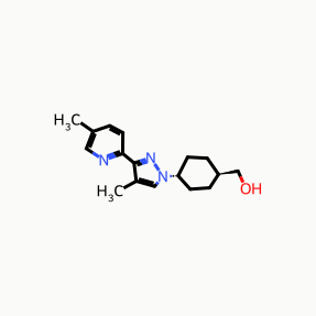 Cc1ccc(-c2nn([C@H]3CC[C@H](CO)CC3)cc2C)nc1